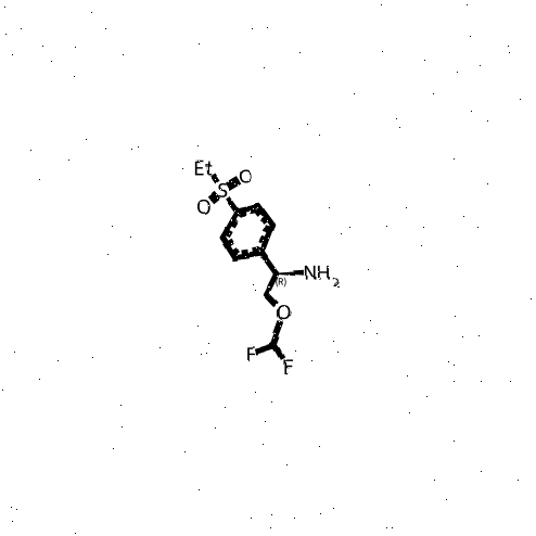 CCS(=O)(=O)c1ccc([C@@H](N)COC(F)F)cc1